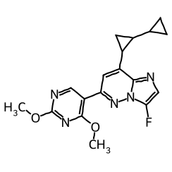 COc1ncc(-c2cc(C3CC3C3CC3)c3ncc(F)n3n2)c(OC)n1